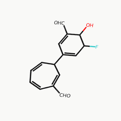 O=CC1=CC(C2=CC(F)C(O)C(C=O)=C2)C=CC=C1